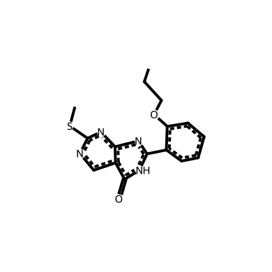 CCCOc1ccccc1-c1nc2nc(SC)ncc2c(=O)[nH]1